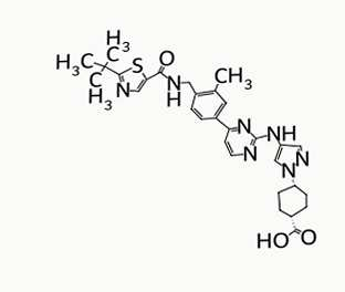 Cc1cc(-c2ccnc(Nc3cnn([C@H]4CC[C@@H](C(=O)O)CC4)c3)n2)ccc1CNC(=O)c1cnc(C(C)(C)C)s1